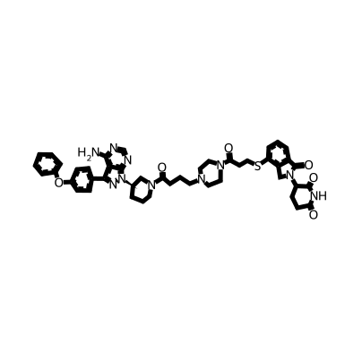 Nc1ncnc2c1c(-c1ccc(Oc3ccccc3)cc1)nn2[C@@H]1CCCN(C(=O)CCCN2CCN(C(=O)CCSc3cccc4c3CN(C3CCC(=O)NC3=O)C4=O)CC2)C1